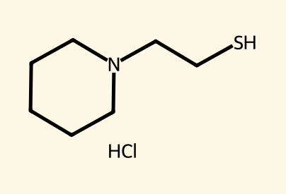 Cl.SCCN1CCCCC1